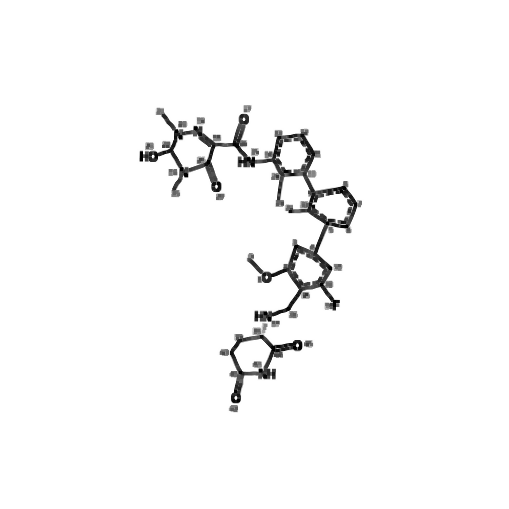 COc1cc(-c2cccc(-c3cccc(NC(=O)C4=NN(C)C(O)N(C)C4=O)c3C)c2C)cc(F)c1CN[C@H]1CCC(=O)NC1=O